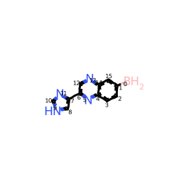 Bc1ccc2nc(-c3c[nH]cn3)cnc2c1